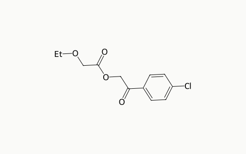 CCOCC(=O)OCC(=O)c1ccc(Cl)cc1